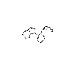 C=Cc1ccccc1C1C=Cc2ccccc21